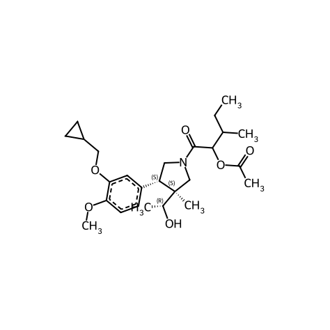 CCC(C)C(OC(C)=O)C(=O)N1C[C@@H](c2ccc(OC)c(OCC3CC3)c2)[C@](C)([C@@H](C)O)C1